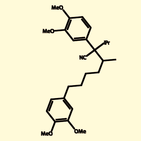 COc1ccc(CCCCC(C)C(C#N)(c2ccc(OC)c(OC)c2)C(C)C)cc1OC